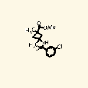 COC(=O)C1(C)CC(C)(NC(=O)c2cccc(Cl)c2)C1